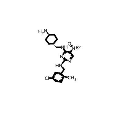 Cc1ccc(Cl)cc1CNc1ncc([N+](=O)[O-])c(NC[C@H]2CC[C@H](N)CC2)n1